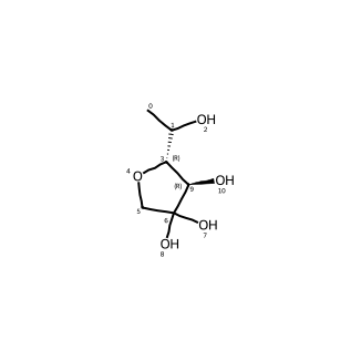 CC(O)[C@H]1OCC(O)(O)[C@@H]1O